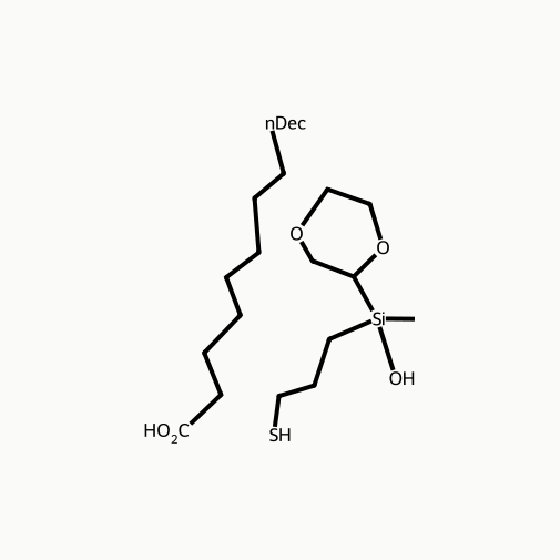 CCCCCCCCCCCCCCCCCC(=O)O.C[Si](O)(CCCS)C1COCCO1